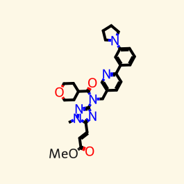 COC(=O)/C=C/c1nc(N(Cc2ccc(-c3cccc(N4CCCC4)c3)nc2)C(=O)C2CCOCC2)nn1C